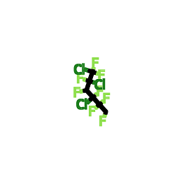 FCC(F)(F)C(F)(Cl)C(F)C(F)(Cl)C(F)(F)Cl